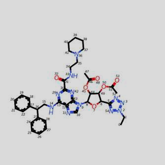 CCn1nnc(C2OC(n3cnc4c(NCC(c5ccccc5)c5ccccc5)nc(C(=O)NCCN5CCCCC5)nc43)C(OC(C)=O)C2OC(C)=O)n1